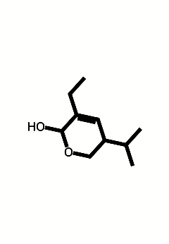 CCC1=CC(C(C)C)COC1O